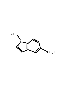 O=Cn1ccc2cc(C(=O)O)ccc21